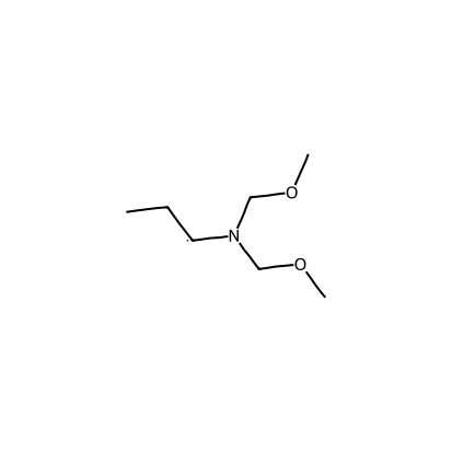 CC[CH]N(COC)COC